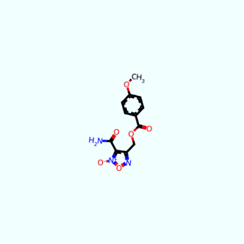 COc1ccc(C(=O)OCc2no[n+]([O-])c2C(N)=O)cc1